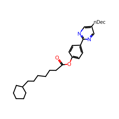 CCCCCCCCCCc1cnc(-c2ccc(OC(=O)CCCCCCC3CCCCC3)cc2)nc1